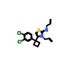 C=CC/N=c1\scc(C2(c3ccc(Cl)c(Cl)c3)CCC2)n1CC=C